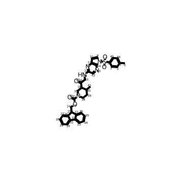 Cc1ccc(S(=O)(=O)n2ccc3nc(NCC(=O)C4CN(C(=O)OCC5c6ccccc6-c6ccccc65)CCC4C)cnc32)cc1